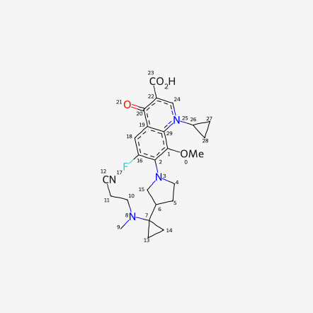 COc1c(N2CCC(C3(N(C)CCC#N)CC3)C2)c(F)cc2c(=O)c(C(=O)O)cn(C3CC3)c12